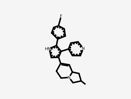 CC1CC2C=C(c3c[nH]c(-c4ccc(F)cc4)c3-c3ccncc3)CCN2C1